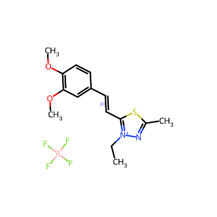 CC[n+]1nc(C)sc1/C=C/c1ccc(OC)c(OC)c1.F[B-](F)(F)F